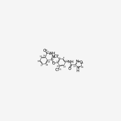 O=C(Nc1cc(Cl)c(Oc2n[nH]c(=O)c3ccccc23)c(Cl)c1)C1=NOCN1